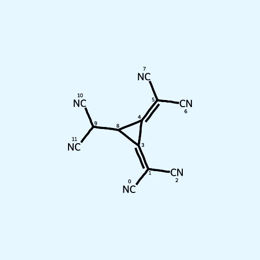 N#CC(C#N)=C1C(=C(C#N)C#N)C1C(C#N)C#N